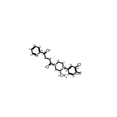 C[C@H]1CN(C(=O)CCC(=O)c2ccccn2)CCN1c1ccc(F)c(Cl)c1